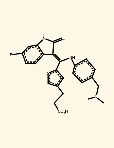 CN(C)Cc1ccc(N/C(=C2\C(=O)Nc3cc(F)ccc32)c2cc(CCC(=O)O)cs2)cc1